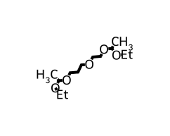 CCOC(C)OCCCOCCOC(C)OCC